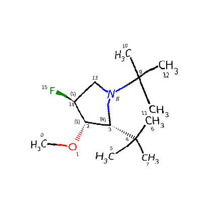 CO[C@H]1[C@@H](C(C)(C)C)N(C(C)(C)C)C[C@@H]1F